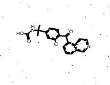 CC(C)(NC(=O)O)c1ccc(C(=O)c2cccc3cnccc23)c(Cl)c1